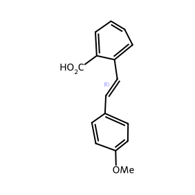 COc1ccc(/C=C/c2ccccc2C(=O)O)cc1